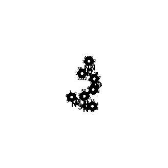 c1ccc2c(c1)nc1sc3nc4ccccc4n3c3cc(-c4ccc5oc6ccc(-n7c8ccccc8n8c9ccccc9nc78)cc6c5c4)ccc3n12